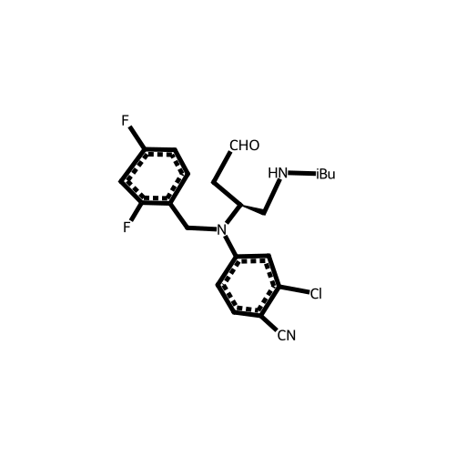 CCC(C)NC[C@H](CC=O)N(Cc1ccc(F)cc1F)c1ccc(C#N)c(Cl)c1